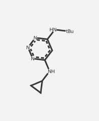 CC(C)(C)Nc1cc(NC2CC2)nnn1